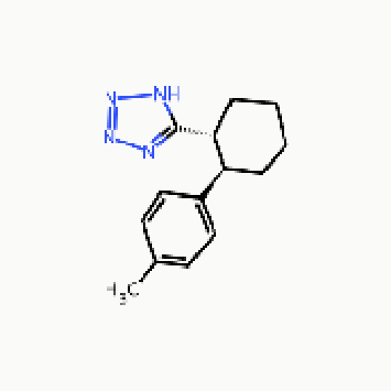 Cc1ccc([C@@H]2CCCC[C@H]2c2nnn[nH]2)cc1